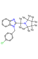 [2H]C([2H])(c1nc2ccccc2n1Cc1ccc(Cl)cc1)N1C([2H])([2H])C([2H])([2H])C([2H])([2H])C1([2H])[2H]